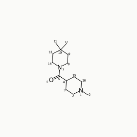 CN1CCC(C(=O)N2CCC(C)(C)CC2)CC1